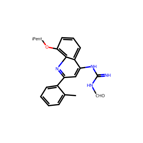 CCCC(C)Oc1cccc2c(NC(=N)NC=O)cc(-c3ccccc3C)nc12